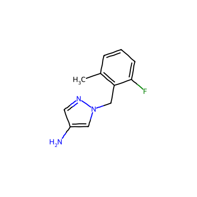 Cc1cccc(F)c1Cn1cc(N)cn1